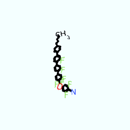 CCCCCc1ccc(-c2ccc(-c3ccc(-c4ccc(C(F)(F)Oc5cc(F)c(C#N)c(F)c5)c(F)c4)c(F)c3)c(F)c2)cc1